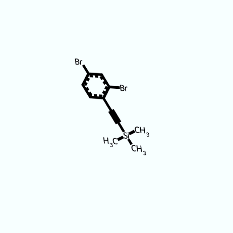 C[Si](C)(C)C#Cc1ccc(Br)cc1Br